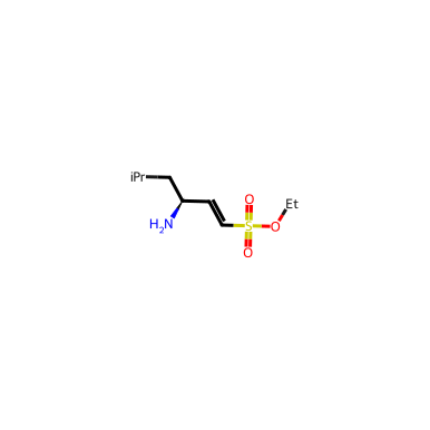 CCOS(=O)(=O)/C=C/[C@@H](N)CC(C)C